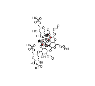 CO[C@H]1OC(COS(=O)(=O)O)[C@@H](OC2OC(OC=O)[C@@H](O[C@@H]3OC(COOO)[C@@H](O[C@@H]4OC(OC=O)[C@@H](O[C@H]5OC(COS(=O)(=O)O)[C@@H](O)[C@H](O)C5NS(=O)(=O)O)[C@H](O)C4O)[C@H](OOO)C3NS(=O)(=O)O)[C@@H](O)[C@@H]2OOO)[C@H](O)C1NS(=O)(=O)O